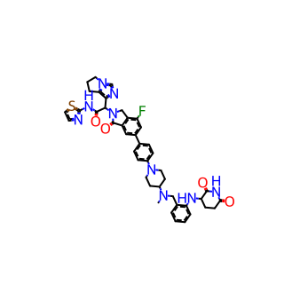 CN(Cc1ccccc1NC1CCC(=O)NC1=O)C1CCN(c2ccc(-c3cc(F)c4c(c3)C(=O)N(C(C(=O)Nc3nccs3)c3ncn5c3CCC5)C4)cc2)CC1